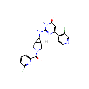 CN(c1nc(-c2ccncc2F)cc(=O)n1C)C1[C@H]2CN(C(=O)c3cccc(Cl)n3)C[C@@H]12